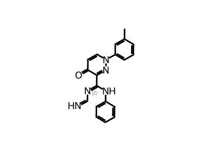 Cc1cccc(-n2ccc(=O)c(/C(=N/C=N)Nc3ccccc3)n2)c1